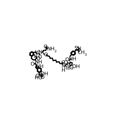 Cc1ncsc1-c1ccc(CNC(=O)[C@@H]2C[C@@H](O)CN2C(=O)[C@@H](NC(=O)CCCCCCCCCOC[C@H](CCC(N)=O)NC(=O)[C@@H]2Cc3cccc4c3N2C(=O)[C@@H](NC(=O)c2cc3cc(C(=O)P(=O)(O)O)ccc3[nH]2)CC4)C(C)(C)C)cc1